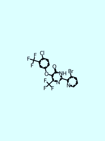 O=c1[nH]c(-c2ncccc2Br)nc(C(F)(F)F)c1Oc1ccc(Cl)c(C(F)(F)F)c1